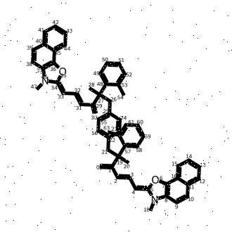 C=C(/C=C/C=C1\Oc2c(ccc3ccccc23)N1C)C(C)(Cc1ccc(CC(C)(C(=C)/C=C/C=C2\Oc3c(ccc4ccccc34)N2C)c2ccccc2C)cc1)c1ccccc1C